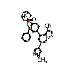 Cn1cc(-c2cc(-c3ccc(N4CC5CC(C4)N5C(=O)CCc4ccccc4)nc3)c3c(C#N)cnn3c2)cn1